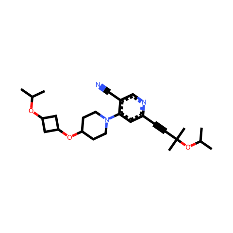 CC(C)OC1CC(OC2CCN(c3cc(C#CC(C)(C)OC(C)C)ncc3C#N)CC2)C1